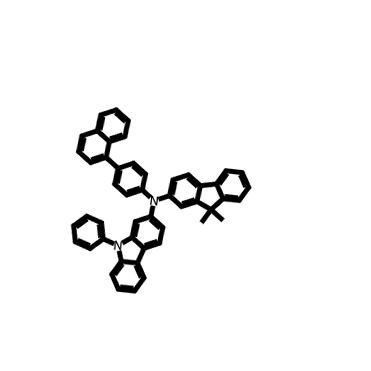 CC1(C)c2ccccc2-c2ccc(N(c3ccc(-c4cccc5ccccc45)cc3)c3ccc4c5ccccc5n(-c5ccccc5)c4c3)cc21